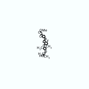 COC(=O)C[C@@H]1COc2cc(O[C@@H]3CCc4c(Oc5c(C)cc(OCCC(C)(C)O)cc5C)ccc(F)c43)ccc21